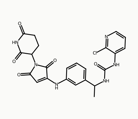 CC(NC(=O)Nc1cccnc1Cl)c1cccc(NC2=CC(=O)N(C3CCC(=O)NC3=O)C2=O)c1